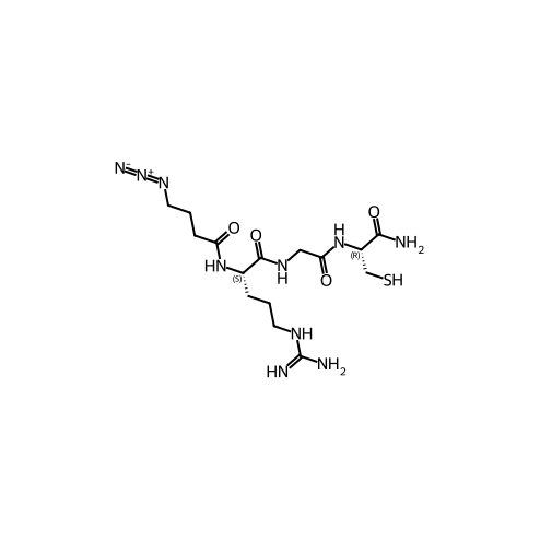 [N-]=[N+]=NCCCC(=O)N[C@@H](CCCNC(=N)N)C(=O)NCC(=O)N[C@@H](CS)C(N)=O